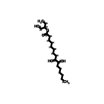 CCCCCCC(O)C(O)CCCCCCCC(=O)OC(CC)CO